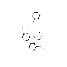 Cc1ncc(-c2ccc(OC(C)COCc3ccccc3)cn2)c(N2CCC(C)(C)CC2)c1CC(=O)O